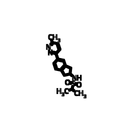 Cc1ccc(-c2ccc3c(c2)CC(NS(=O)(=O)C(C)C)C3)nn1